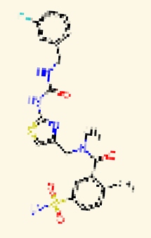 Cc1ccc(S(N)(=O)=O)cc1C(=O)N(C)Cc1csc(NC(=O)NCc2cccc(F)c2)n1